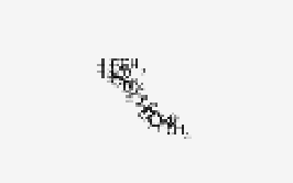 C[S+]([O-])c1ccc2oc(C=CC3CCN(C(=O)OC(C)(C)C)CC3)cc2c1